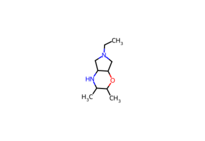 CCN1CC2NC(C)C(C)OC2C1